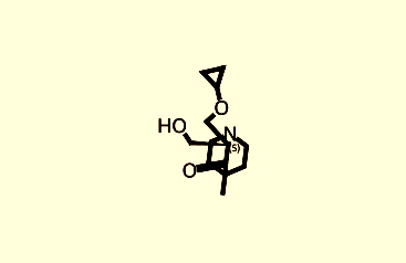 CC12CCN(CC1)[C@@](CO)(COC1CC1)C2=O